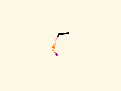 CCB=PI